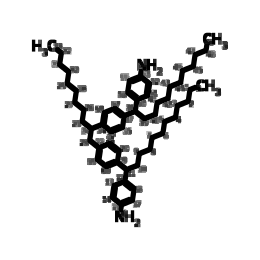 CCCCCCCCCCCC(c1ccc(N)cc1)c1ccc(CC(CCCCCCCCC)c2ccc(C(CCCCCCCCCCC)c3ccc(N)cc3)cc2)cc1